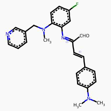 CN(C)c1ccc(/C=C/C(C=O)=N/c2cc(F)ccc2N(C)Cc2cccnc2)cc1